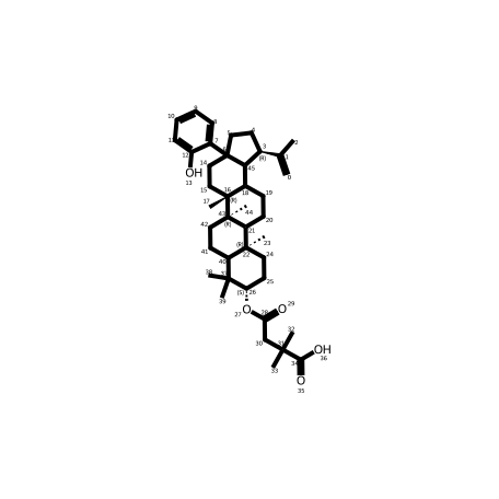 C=C(C)[C@@H]1CCC2(c3ccccc3O)CC[C@]3(C)C(CCC4[C@@]5(C)CC[C@H](OC(=O)CC(C)(C)C(=O)O)C(C)(C)C5CC[C@]43C)C12